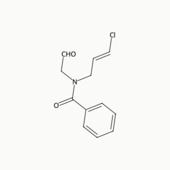 O=CCN(CC=CCl)C(=O)c1ccccc1